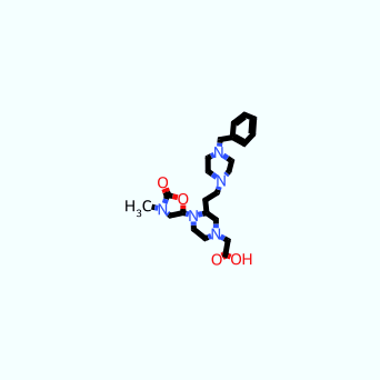 CN1CC(N2CCN(CC(=O)O)CC2CCN2CCN(Cc3ccccc3)CC2)OC1=O